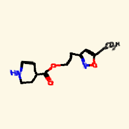 O=C(O)c1cc(CCOC(=O)C2CCNCC2)no1